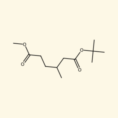 COC(=O)CCC(C)CC(=O)OC(C)(C)C